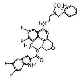 CN(C(=O)c1cc2cc(F)c(F)cc2[nH]1)C1COCc2nc(NCCN(Cc3ccccc3)C(=O)O)c3cc(F)c(F)cc3c21